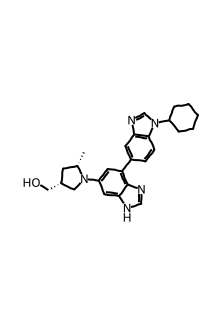 C[C@H]1C[C@@H](CO)CN1c1cc(-c2ccc3c(c2)ncn3C2CCCCC2)c2nc[nH]c2c1